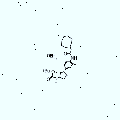 Cc1cc(N2CCC(NC(=O)OC(C)(C)C)C2)ccc1NC(=O)C[C]1CCCCCCC1.[CH2].[CH2]